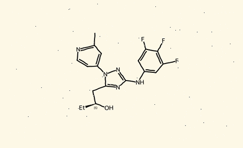 CC[C@H](O)Cc1nc(Nc2cc(F)c(F)c(F)c2)nn1-c1ccnc(C)c1